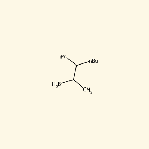 BC(C)C(CCCC)C(C)C